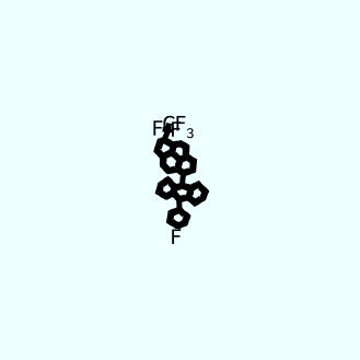 Fc1ccc(-c2c3ccccc3c(-c3ccc4ccc5c(C(F)(F)C(F)(F)F)ccc6ccc3c4c65)c3ccccc23)cc1